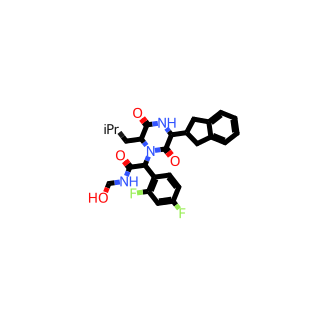 CC(C)CC1C(=O)NC(C2Cc3ccccc3C2)C(=O)N1C(C(=O)NCO)c1ccc(F)cc1F